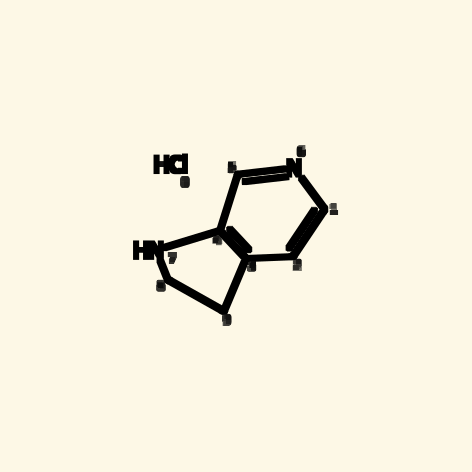 Cl.c1cc2c(cn1)NCC2